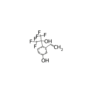 C=Cc1cc(O)ccc1C(O)(C(F)(F)F)C(F)(F)F